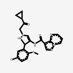 COc1ccc(Cl)cc1C1NN(CC(=O)C2CC2)C=C1NC(=O)c1cnn2cccnc12